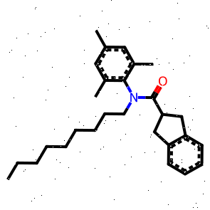 CCCCCCCCCN(C(=O)C1Cc2ccccc2C1)c1c(C)cc(C)cc1C